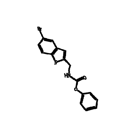 O=C(NCc1cc2cc(Br)ccc2s1)Oc1ccccc1